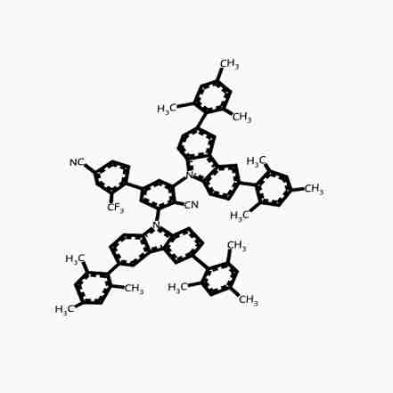 Cc1cc(C)c(-c2ccc3c(c2)c2cc(-c4c(C)cc(C)cc4C)ccc2n3-c2cc(-c3ccc(C#N)cc3C(F)(F)F)cc(-n3c4ccc(-c5c(C)cc(C)cc5C)cc4c4cc(-c5c(C)cc(C)cc5C)ccc43)c2C#N)c(C)c1